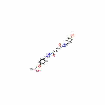 CC(C)C(O)COc1ccc(/C=N/NC(=O)CCCCC(=O)N/N=C/c2ccc(O)cc2)cc1